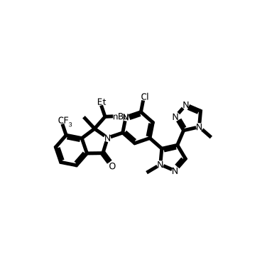 CCCCC(CC)C1(C)c2c(cccc2C(F)(F)F)C(=O)N1c1cc(-c2c(-c3nncn3C)cnn2C)cc(Cl)n1